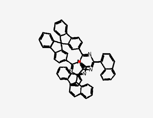 Cc1nc(-c2ccc3c(c2)C2(c4ccccc4-3)c3ccccc3-c3ccc(-c4nc(-c5cccc6ccccc56)nc(-c5cccc6ccccc56)n4)cc32)nc(-c2cccc3ccccc23)n1